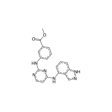 COC(=O)c1cccc(Nc2nccc(Nc3cccc4[nH]ncc34)n2)c1